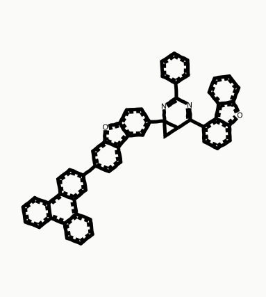 c1ccc(C2=NC3(c4ccc5oc6cc(-c7ccc8c9ccccc9c9ccccc9c8c7)ccc6c5c4)CC3C(c3cccc4oc5ccccc5c34)=N2)cc1